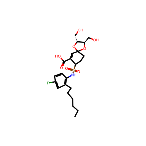 CCCCCCc1cc(F)ccc1NS(=O)(=O)C1CCC2(C=C1C(=O)O)O[C@H](CO)[C@@H](CO)O2